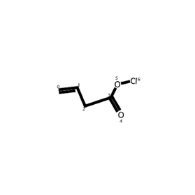 C=CCC(=O)OCl